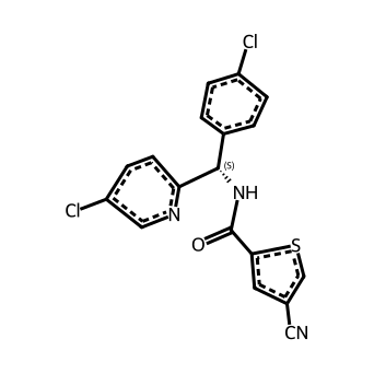 N#Cc1csc(C(=O)N[C@@H](c2ccc(Cl)cc2)c2ccc(Cl)cn2)c1